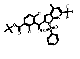 Cc1cc(C(F)(F)F)nc2c1cc(C(O)c1c(Cl)ccc(C(=O)OC(C)(C)C)c1Cl)n2S(=O)(=O)c1ccccc1